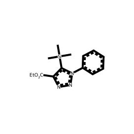 CCOC(=O)c1nnn(-c2ccccc2)c1[Si](C)(C)C